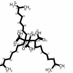 CC(C)CCCCCCC(C(=O)O)C(O)(C(=O)O)C(CCCCCCC(C)C)(CCCCCCC(C)C)C(=O)O